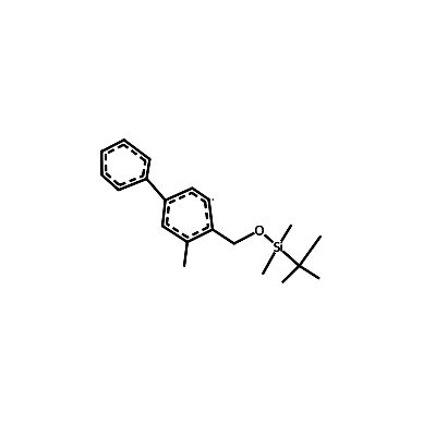 Cc1cc(-c2ccccc2)c[c]c1CO[Si](C)(C)C(C)(C)C